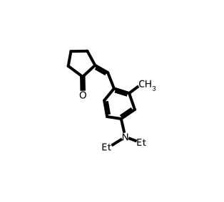 CCN(CC)c1ccc(C=C2CCCC2=O)c(C)c1